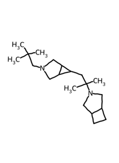 CC(C)(C)CN1CC2C(C1)C2CC(C)(C)N1CC2CCC2C1